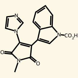 CN1C(=O)C(c2cn(C(=O)O)c3ccccc23)=C(n2ccnc2)C1=O